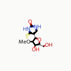 COC1C(O)[C@@H](CO)O[C@H]1c1c[nH]c(=O)[nH]c1=S